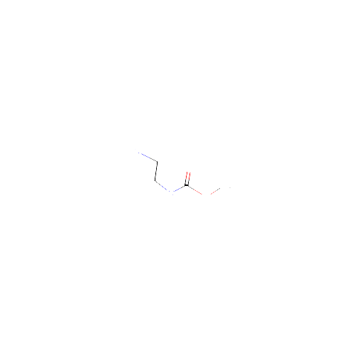 CC(C)(C)OC(=O)N[C@H](C=O)CN